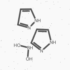 OBO.c1cn[nH]c1.c1cn[nH]c1